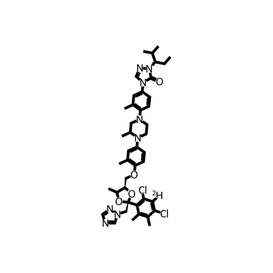 [2H]c1c(Cl)c(C)c(C)c([C@]2(Cn3cncn3)OC(C)[C@@H](COc3ccc(N4CCN(c5ccc(-n6cnn(C(CC)C(C)C)c6=O)cc5C)CC4C)cc3C)O2)c1Cl